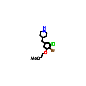 COCCOc1cc(CC2CCNCC2)ccc1Br.Cl